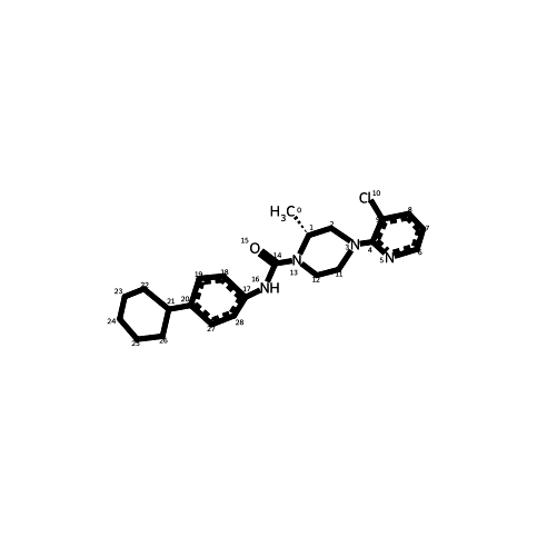 C[C@@H]1CN(c2ncccc2Cl)CCN1C(=O)Nc1ccc(C2CCCCC2)cc1